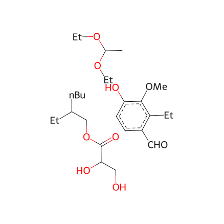 CCCCC(CC)COC(=O)C(O)CO.CCOC(C)OCC.CCc1c(C=O)ccc(O)c1OC